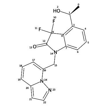 C[C@H](O)c1cccc2c1C(F)(F)C(=O)N2Cc1cccc2ccnn12